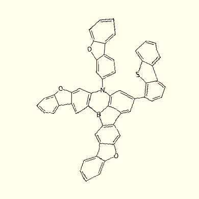 c1ccc2c(c1)oc1cc(N3c4cc5oc6ccccc6c5cc4B4c5cc6c(cc5-c5cc(-c7cccc8c7sc7ccccc78)cc3c54)oc3ccccc36)ccc12